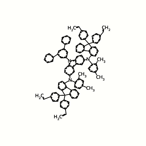 C=Cc1ccc(C2(c3ccc(C=C)cc3)c3ccccc3-c3c(N(c4ccc5c(c4)c4cc(N(c6ccc(C)cc6C)c6cccc7c6-c6ccccc6C7(c6ccc(C=C)cc6)c6ccc(C=C)cc6)ccc4n5-c4cc(-c5ccccc5)cc(-c5ccccc5)c4)c4ccc(C)cc4C)cccc32)cc1